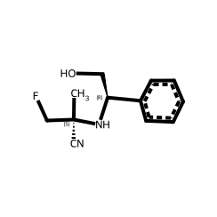 C[C@](C#N)(CF)N[C@@H](CO)c1ccccc1